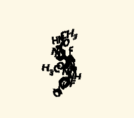 CNC(=O)c1cnn2ccc(-c3c(F)cn4nc(N[C@@H]5CCN(C6COC6)C[C@H]5F)nc(OC)c34)cc12